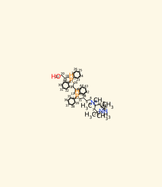 CC1(C)CC([N+](C)(C)CCCC[PH](CCCC[PH](CCCO)(c2ccccc2)c2ccccc2)(c2ccccc2)c2ccccc2)CC(C)(C)N1